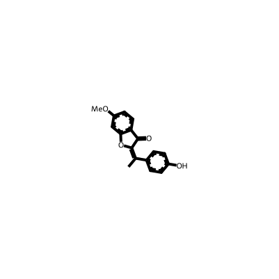 COc1ccc2c(c1)OC(=C(C)c1ccc(O)cc1)C2=O